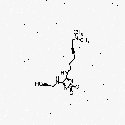 C#CCNC1=NS(=O)(=O)N=C1NCCCC#CCN(C)C